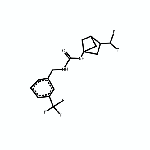 O=C(NCc1cccc(C(F)(F)F)c1)NC12CC(C1)C(C(F)F)C2